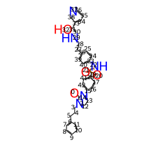 O=C1N(CCCc2ccccc2)CCN1c1ccc(S(=O)(=O)Nc2ccc(CCNCC(O)c3cccnc3)cc2)cc1